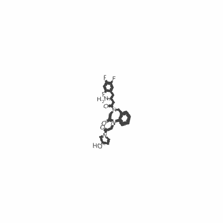 N[C@@H](CC(=O)N1CC(=O)N(CC(=O)N2CC[C@H](O)C2)c2ccccc2C1)Cc1cc(F)c(F)cc1F